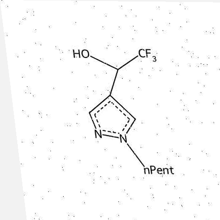 CCCCCn1cc(C(O)C(F)(F)F)cn1